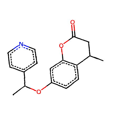 CC1CC(=O)Oc2cc(OC(C)c3ccncc3)ccc21